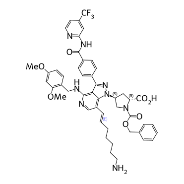 COc1ccc(CNc2ncc(/C=C/CCCCCN)c3c2c(-c2ccc(C(=O)Nc4cc(C(F)(F)F)ccn4)cc2)nn3[C@H]2C[C@H](C(=O)O)N(C(=O)OCc3ccccc3)C2)c(OC)c1